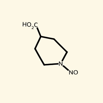 O=NN1CCC(C(=O)O)CC1